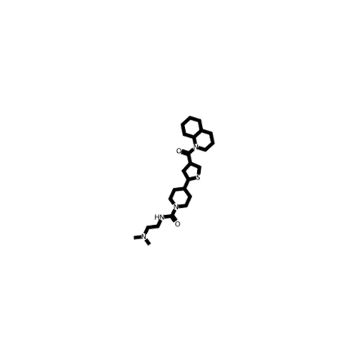 CN(C)CCNC(=O)N1CCC(C2CC(C(=O)N3CCCC4CCCCC43)CS2)CC1